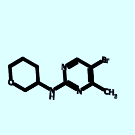 Cc1nc(NC2CCCOC2)ncc1Br